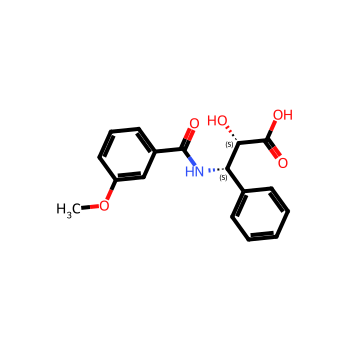 COc1cccc(C(=O)N[C@@H](c2ccccc2)[C@H](O)C(=O)O)c1